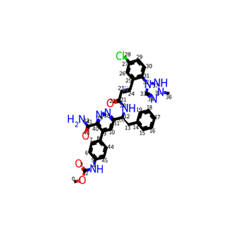 COC(=O)Nc1ccc(-c2cc([C@H](Cc3ccccc3)NC(=O)/C=C/c3cc(Cl)ccc3N3C=NN(C)N3)nnc2C(N)=O)cc1